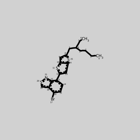 CCCCC(CC)Cc1cc2sc(-c3ccc(Br)c4csnc34)cc2s1